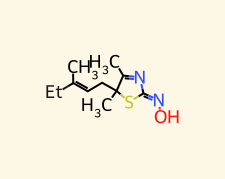 CCC(C)=CCC1(C)SC(=NO)N=C1C